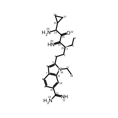 CC[C@@H](CCc1cc2ccc(C(=N)N)cc2n1CC)C(=N)C(=O)C(N)C1CC1